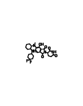 CN(c1ccc2c(c1O)C(=O)N(C1CCC(=O)NC1=O)C2=O)[C@@H]1CCCC[C@@H]1NC1CCC(F)(F)CC1